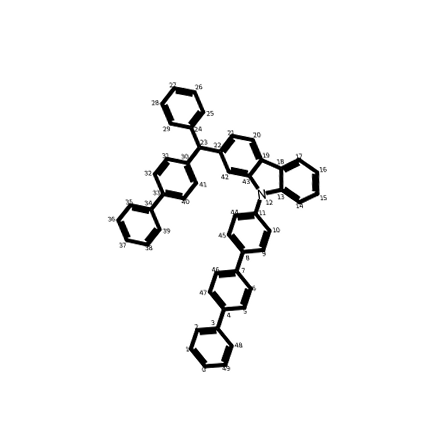 c1ccc(-c2ccc(-c3ccc(-n4c5ccccc5c5ccc(C(c6ccccc6)c6ccc(-c7ccccc7)cc6)cc54)cc3)cc2)cc1